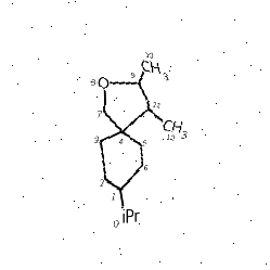 CC(C)C1CCC2(CC1)COC(C)C2C